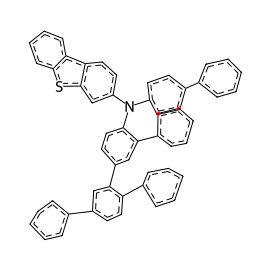 c1ccc(-c2ccc(N(c3ccc4c(c3)sc3ccccc34)c3ccc(-c4cc(-c5ccccc5)ccc4-c4ccccc4)cc3-c3ccccc3)cc2)cc1